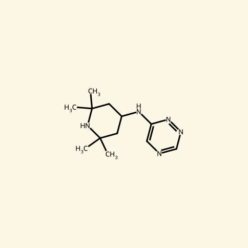 CC1(C)CC(Nc2cncnn2)CC(C)(C)N1